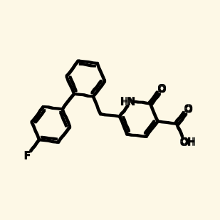 O=C(O)c1ccc(Cc2ccccc2-c2ccc(F)cc2)[nH]c1=O